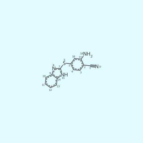 N#Cc1ccc(Sc2nc3ccccc3[nH]2)cc1N